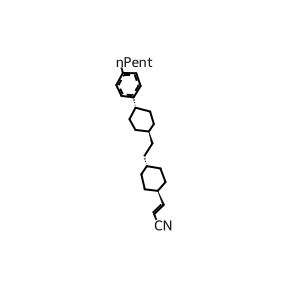 CCCCCc1ccc([C@H]2CC[C@H](CC[C@H]3CC[C@H](C=CC#N)CC3)CC2)cc1